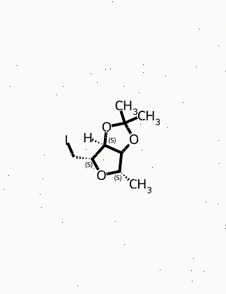 C[C@@H]1O[C@H](CI)[C@H]2OC(C)(C)OC12